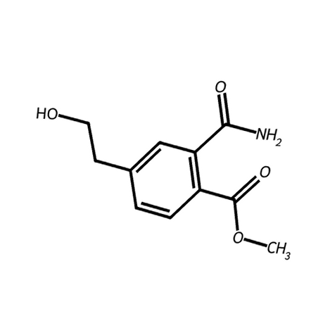 COC(=O)c1ccc(CCO)cc1C(N)=O